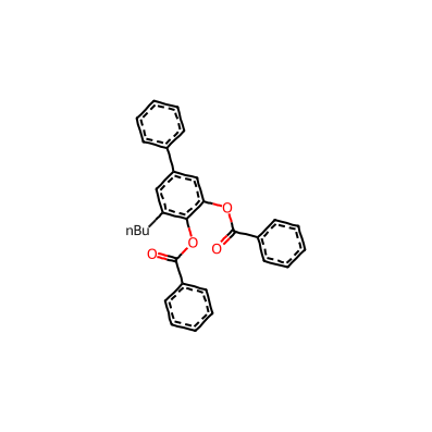 CCCCc1cc(-c2ccccc2)cc(OC(=O)c2ccccc2)c1OC(=O)c1ccccc1